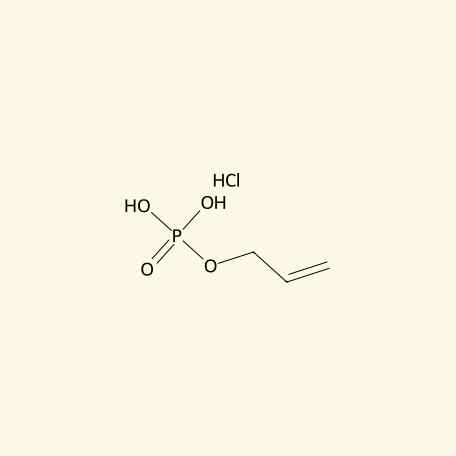 C=CCOP(=O)(O)O.Cl